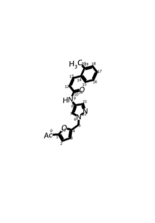 CC(=O)c1ccc(Cn2cc(NC(=O)/C=C\c3ccccc3C)cn2)o1